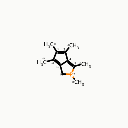 CC1=C(C)C2=C(C)P(C)[CH]C2=C1C